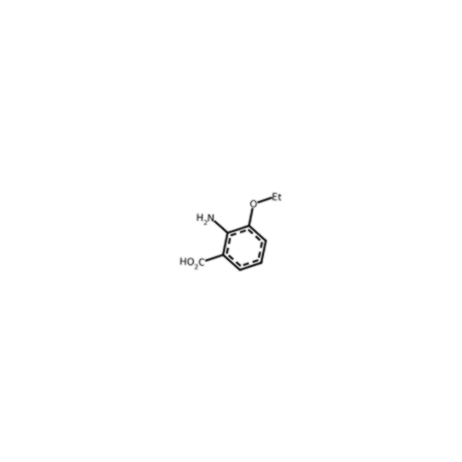 CCOc1cccc(C(=O)O)c1N